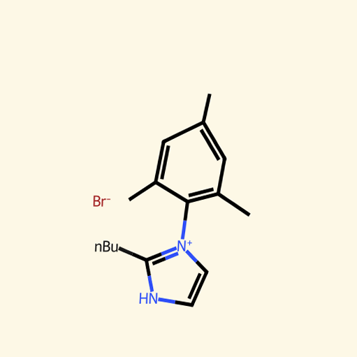 CCCCc1[nH]cc[n+]1-c1c(C)cc(C)cc1C.[Br-]